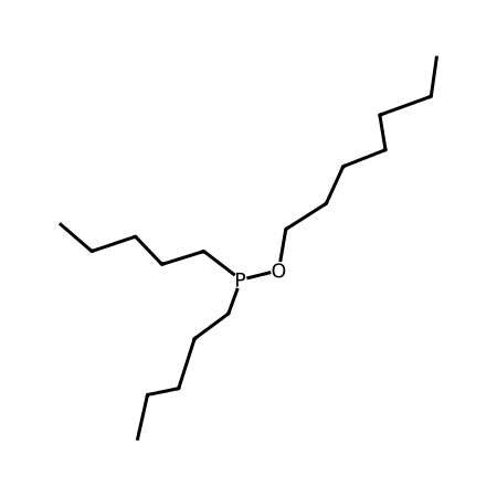 CCCCCCCOP(CCCCC)CCCCC